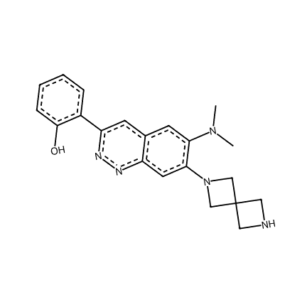 CN(C)c1cc2cc(-c3ccccc3O)nnc2cc1N1CC2(CNC2)C1